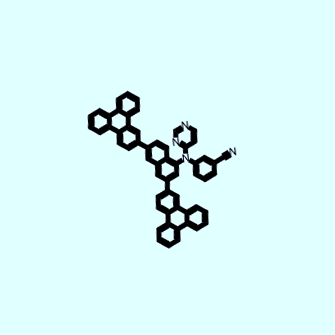 N#Cc1cccc(N(c2ccncn2)c2cc(-c3ccc4c5ccccc5c5ccccc5c4c3)cc3cc(-c4ccc5c6ccccc6c6ccccc6c5c4)ccc23)c1